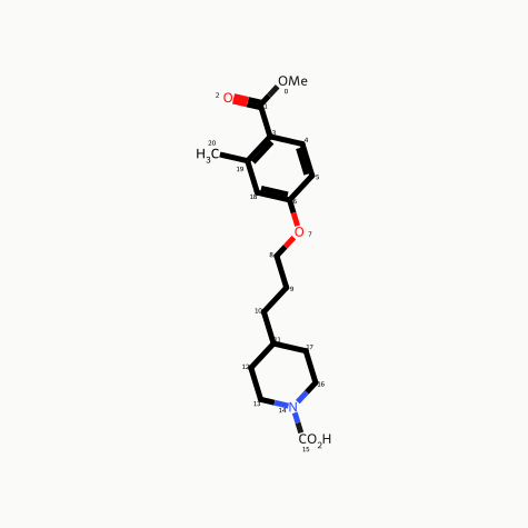 COC(=O)c1ccc(OCCCC2CCN(C(=O)O)CC2)cc1C